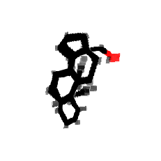 OC[C@@]12C=CC=C1C1=CCC3CCCC[C@@H]3[C@H]1CC2